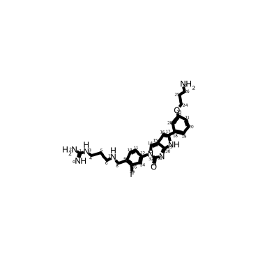 N=C(N)NCCCNCc1ccc(-n2cc3cc(-c4cccc(OCCCN)c4)[nH]c3nc2=O)cc1F